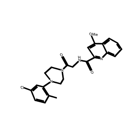 COc1cc(C(=O)NCC(=O)N2CCN(c3cc(Cl)ccc3C)CC2)nc2ccccc12